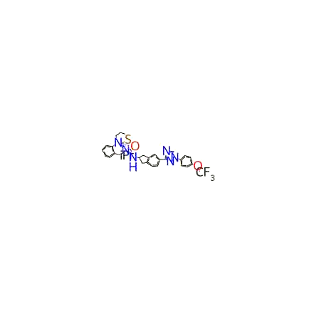 CC(C)c1ccccc1N1CCCS/C1=N\C(=O)NC1Cc2ccc(-c3ncn(-c4ccc(OC(F)(F)F)cc4)n3)cc2C1